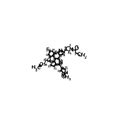 C=CC(=O)N1CC[C@H](n2cc(-c3nc(-c4cnn(C)c4)c4ccsc4c3-c3c(F)cc(F)cc3OCCOC)cn2)C1